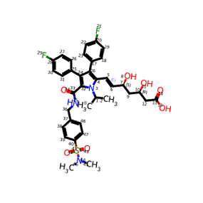 CC(C)n1c(/C=C/[C@@H](O)C[C@@H](O)CC(=O)O)c(-c2ccc(F)cc2)c(-c2ccc(F)cc2)c1C(=O)NCc1ccc(S(=O)(=O)N(C)C)cc1